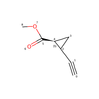 C#CC1C[C@@H]1C(=O)OC